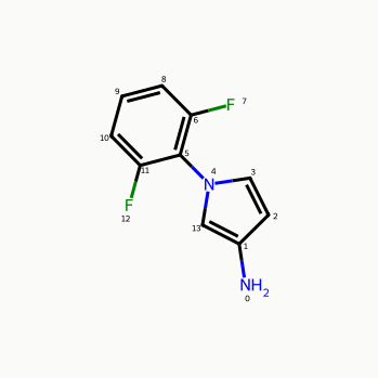 Nc1ccn(-c2c(F)cccc2F)c1